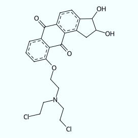 O=C1c2cccc(OCCN(CCCl)CCCl)c2C(=O)c2c1ccc1c2CC(O)C1O